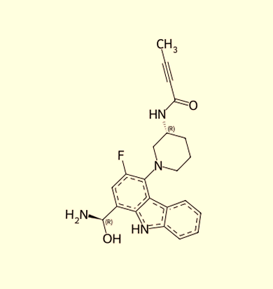 CC#CC(=O)N[C@@H]1CCCN(c2c(F)cc([C@H](N)O)c3[nH]c4ccccc4c23)C1